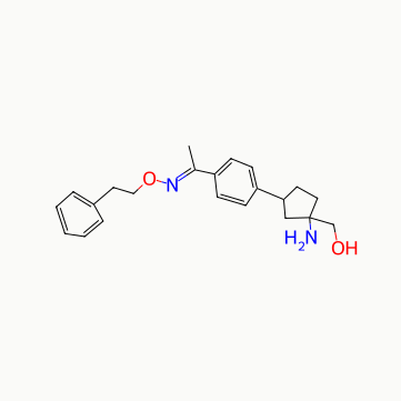 C/C(=N\OCCc1ccccc1)c1ccc(C2CCC(N)(CO)C2)cc1